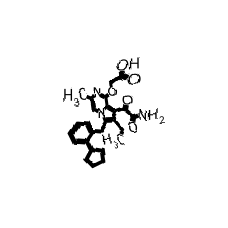 CCc1c(C(=O)C(N)=O)c2c(OCC(=O)O)nc(C)cn2c1Cc1ccccc1C1CCCC1